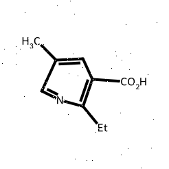 CCc1ncc(C)cc1C(=O)O